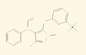 Cc1nn(C)c(Sc2cccc(C(F)(F)F)c2)c1N(C=O)c1ccccc1